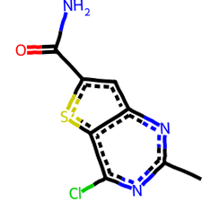 Cc1nc(Cl)c2sc(C(N)=O)cc2n1